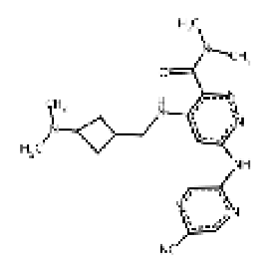 CN(C)C(=O)c1nnc(Nc2cnc(C#N)cn2)cc1NCC1CC(N(C)C)C1